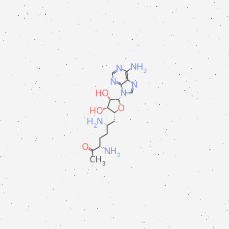 CC(=O)[C@@H](N)CC[C@H](N)C[C@H]1O[C@@H](n2cnc3c(N)ncnc32)[C@H](O)[C@@H]1O